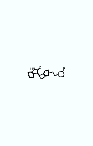 O=C1Nc2ccccc2/C1=C1\OCc2cc(CCN3CCCC(F)C3)ccc21